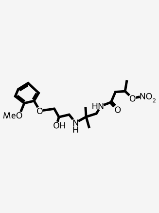 COc1ccccc1OCC(O)CNC(C)(C)CNC(=O)CC(C)O[N+](=O)[O-]